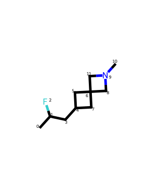 CC(F)CC1CC2(C1)CN(C)C2